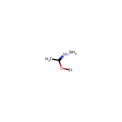 CCOC(C)=N.[SiH4]